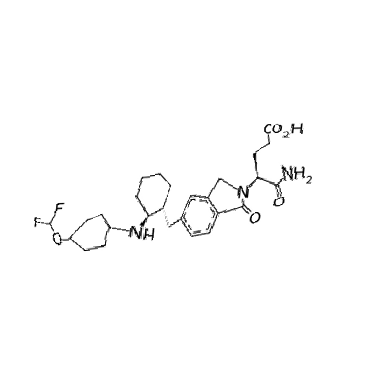 NC(=O)[C@H](CCC(=O)O)N1Cc2cc(C[C@H]3CCCC[C@@H]3NC3CCC(OC(F)F)CC3)ccc2C1=O